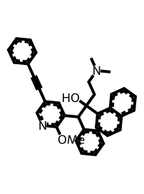 COc1ncc(C#Cc2ccccc2)cc1C(c1ccccc1)C(O)(CCN(C)C)c1cccc2ccccc12